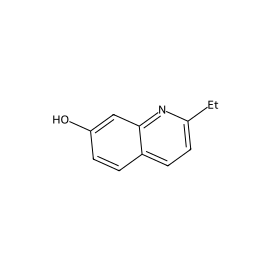 CCc1ccc2ccc(O)cc2n1